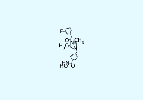 C[C@@H]1CN(Cc2ccc(C(=O)NO)cc2)C[C@H](C)N1C(=O)Cc1cccc(F)c1